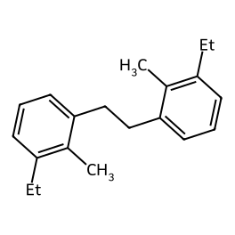 CCc1cccc(CCc2cccc(CC)c2C)c1C